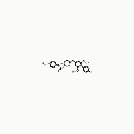 CCOc1cc(CN2CCC3(CC2)CC(=O)N(c2ccc(C)cc2)C3)cc(OCC)c1-c1ccc(F)cc1